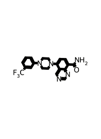 NC(=O)c1ccc(N2CCN(c3cccc(C(F)(F)F)c3)CC2)c2cncnc12